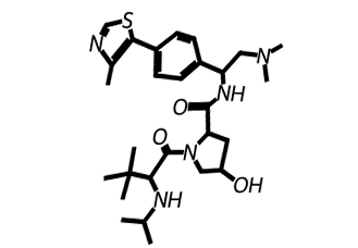 Cc1ncsc1-c1ccc(C(CN(C)C)NC(=O)C2CC(O)CN2C(=O)C(NC(C)C)C(C)(C)C)cc1